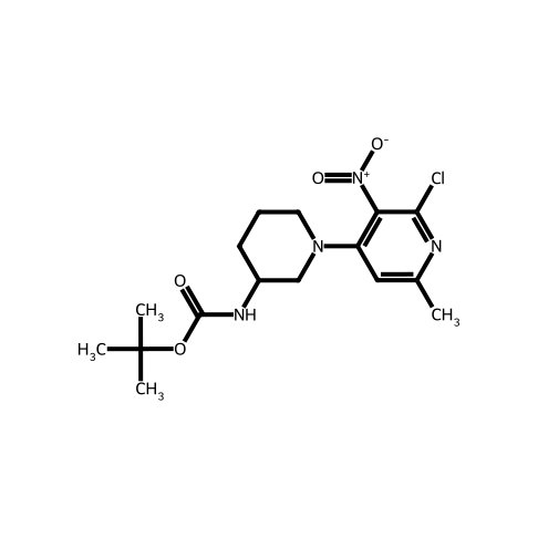 Cc1cc(N2CCCC(NC(=O)OC(C)(C)C)C2)c([N+](=O)[O-])c(Cl)n1